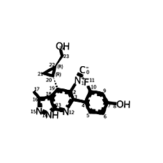 [C-]#[N+]c1c(-c2ccc(O)cc2F)nc2[nH]nc(C)c2c1[C@@H]1C[C@H]1CO